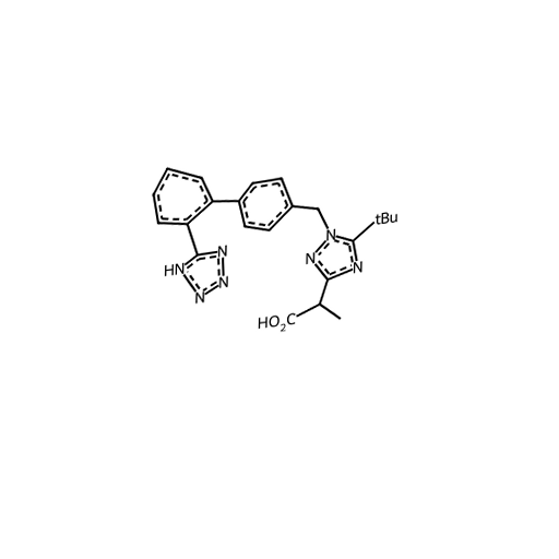 CC(C(=O)O)c1nc(C(C)(C)C)n(Cc2ccc(-c3ccccc3-c3nnn[nH]3)cc2)n1